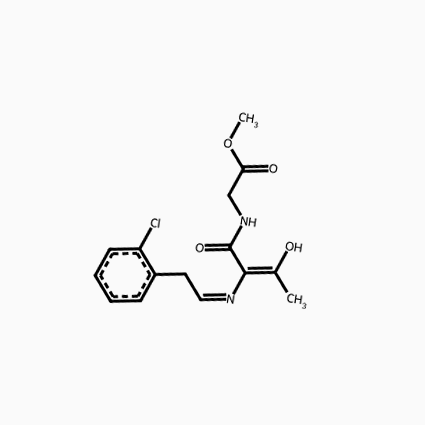 COC(=O)CNC(=O)C(/N=C\Cc1ccccc1Cl)=C(/C)O